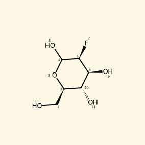 OC[C@H]1OC(O)[C@@H](F)[C@@H](O)[C@@H]1O